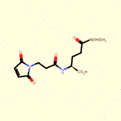 CN(O)C(=O)CC[C@H](NC(=O)CCN1C(=O)C=CC1=O)C(=O)O